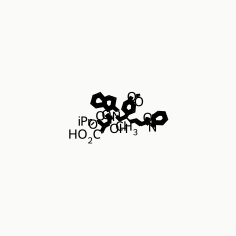 CC(C)OC(=O)C(CC(=O)O)=C(O)C(=O)N(Cc1ccc2ccccc2c1)[C@H](C)[C@H](C/C=C/c1nc2ccccc2o1)c1ccc2c(c1)OCO2